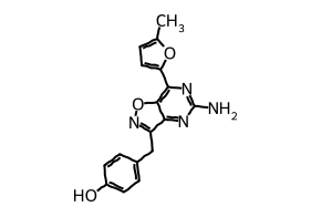 Cc1ccc(-c2nc(N)nc3c(Cc4ccc(O)cc4)noc23)o1